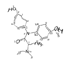 CCCC(C(=O)N(c1ccc(O)cc1)c1ccc(O)cc1)N(C)C